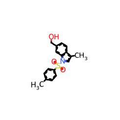 Cc1ccc(S(=O)(=O)n2cc(C)c3ccc(CO)cc32)cc1